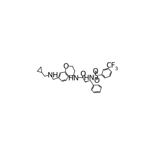 O=C(C[C@@H](NS(=O)(=O)c1cccc(C(F)(F)F)c1)c1ccccc1)N[C@@H]1CCOc2cc(CNCC3CC3)ccc21